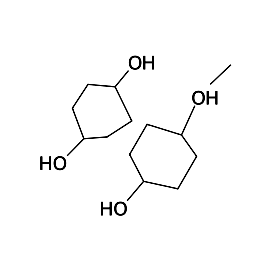 CC.OC1CCC(O)CC1.OC1CCC(O)CC1